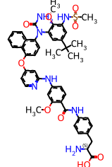 COc1cc(Nc2cc(Oc3ccc(N(C(N)=O)c4cc(C(C)(C)C)cc(NS(C)(=O)=O)c4OC)c4ccccc34)ccn2)ccc1C(=O)Nc1ccc(C[C@H](N)C(=O)O)cc1